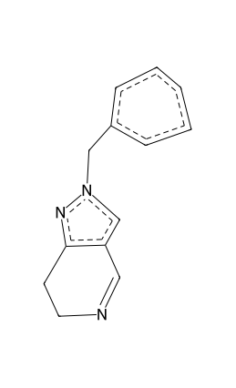 C1=NCCc2nn(Cc3ccccc3)cc21